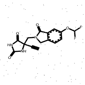 C#CC1(CN2Cc3ccc(OC(F)F)cc3C2=O)NC(=O)NC1=O